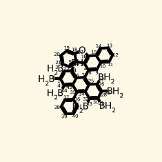 Bc1c(B)c(B)c2c(-c3cc4ccccc4c4oc5ccccc5c34)c3c(B)c(B)c(B)c(B)c3c(-c3ccccc3)c2c1B